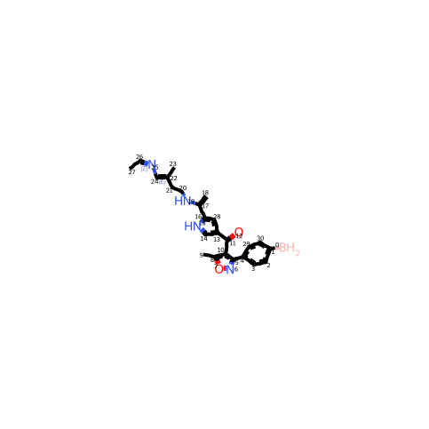 Bc1ccc(-c2noc(C)c2C(=O)c2c[nH]c(C(=C)NCC/C(C)=C/N=C\C)c2)cc1